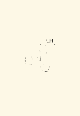 Cc1ccc(N(c2ccccc2)c2cccc3c2CCCC3)cc1